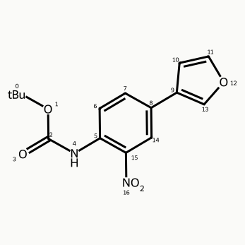 CC(C)(C)OC(=O)Nc1ccc(-c2ccoc2)cc1[N+](=O)[O-]